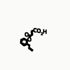 C=CCc1ccccc1OC(=O)C=CC(=O)O